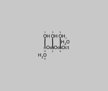 CCCCCCCCO.CCCCCCCCO.CCCCCCCCO.O.O